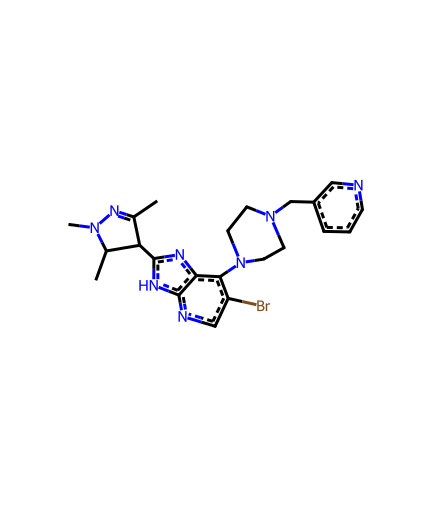 CC1=NN(C)C(C)C1c1nc2c(N3CCN(Cc4cccnc4)CC3)c(Br)cnc2[nH]1